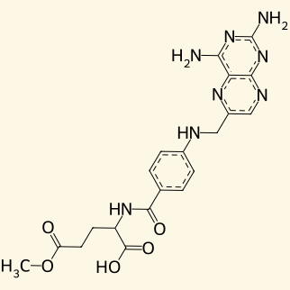 COC(=O)CCC(NC(=O)c1ccc(NCc2cnc3nc(N)nc(N)c3n2)cc1)C(=O)O